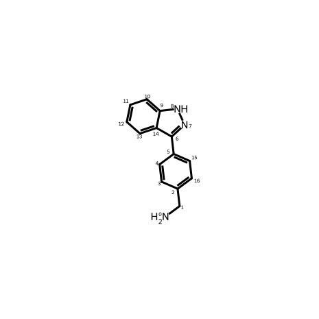 NCc1ccc(-c2n[nH]c3ccccc23)cc1